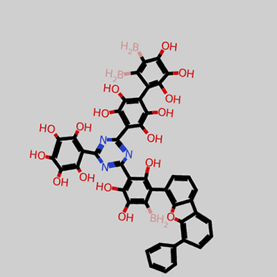 Bc1c(B)c(-c2c(O)c(O)c(-c3nc(-c4c(O)c(O)c(O)c(O)c4O)nc(-c4c(O)c(O)c(B)c(-c5cccc6c5oc5c(-c7ccccc7)cccc56)c4O)n3)c(O)c2O)c(O)c(O)c1O